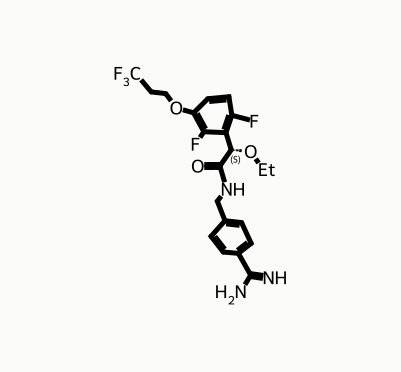 CCO[C@H](C(=O)NCc1ccc(C(=N)N)cc1)c1c(F)ccc(OCCC(F)(F)F)c1F